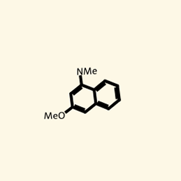 CNc1cc(OC)cc2ccccc12